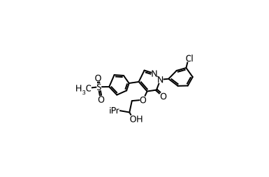 CC(C)C(O)COc1c(-c2ccc(S(C)(=O)=O)cc2)cnn(-c2cccc(Cl)c2)c1=O